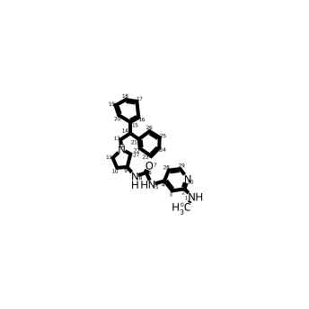 CNc1cc(NC(=O)NC2CCN(CC(c3ccccc3)c3ccccc3)C2)ccn1